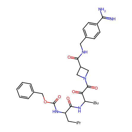 CCC(C)C(NC(=O)C(CC(C)C)NC(=O)OCc1ccccc1)C(=O)C(=O)N1CC(C(=O)NCc2ccc(C(=N)N)cc2)C1